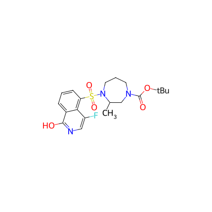 CC1CN(C(=O)OC(C)(C)C)CCCN1S(=O)(=O)c1cccc2c(O)ncc(F)c12